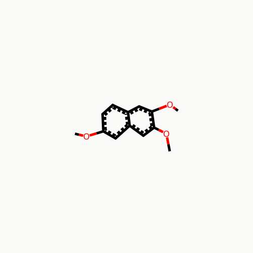 COc1ccc2cc(OC)c(OC)cc2c1